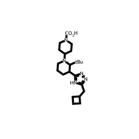 CC(C)(C)C1C(c2nnc(CC3CCC3)[nH]2)CCCN1C1CCN(C(=O)O)CC1